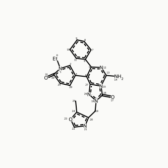 CCn1cc(-c2c(-c3ccccc3)nc(N)n3c(=O)n(Cc4ncoc4C)nc23)ccc1=O